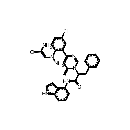 C=C1C=C(c2cc(Cl)ccc2N(N)/C=C(\N)Cl)N=CN1C(Cc1ccccc1)C(=O)Nc1cccc2[nH]ccc12